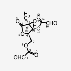 C[C@@]1(O)C(=O)O[C@H](COC(=O)C=O)[C@H]1OC(=O)C=O